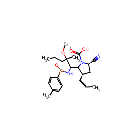 C/C=C\[C@@H]1C[C@H](C#N)N(C(=O)O)C1[C@@H](N[S+]([O-])c1ccc(C)cc1)[C@](C)(CCC)OC